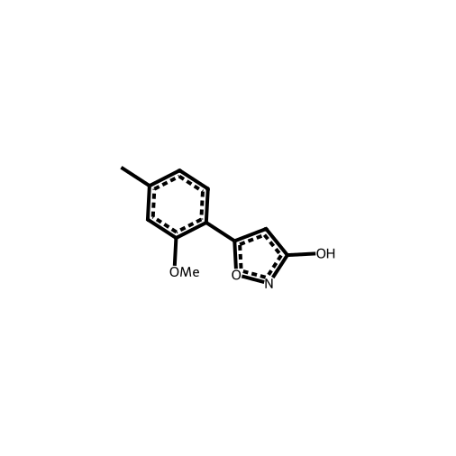 COc1cc(C)ccc1-c1cc(O)no1